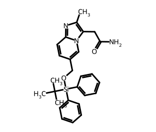 Cc1nc2ccc(CO[Si](c3ccccc3)(c3ccccc3)C(C)(C)C)cn2c1CC(N)=O